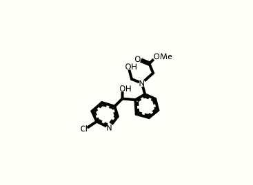 COC(=O)CN(CO)c1ccccc1C(O)c1ccc(Cl)nc1